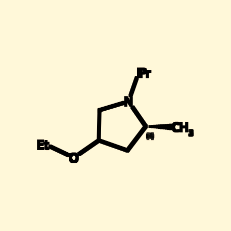 CCOC1C[C@@H](C)N(C(C)C)C1